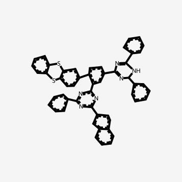 c1ccc(C2=NC(c3ccc(-c4ccc5c(c4)Sc4ccccc4S5)c(-c4nc(-c5ccccc5)nc(-c5ccc6ccccc6c5)n4)c3)=NC(c3ccccc3)N2)cc1